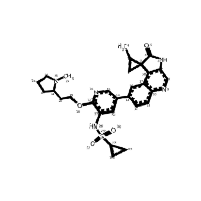 CC1CC12C(=O)Nc1cnc3ccc(-c4cnc(OCCC5CCCN5C)c(NS(=O)(=O)C5CC5)c4)cc3c12